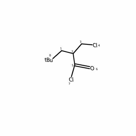 CC(C)(C)CC(CCl)C(=O)Cl